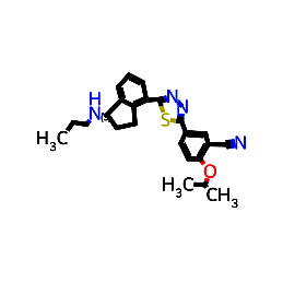 CCCN[C@H]1CCc2c(-c3nnc(-c4ccc(OC(C)C)c(C#N)c4)s3)cccc21